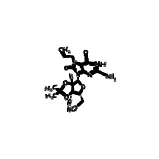 C=CCn1c(=O)n([C@@H]2O[C@H](CO)[C@H]3OC(C)(C)O[C@@H]32)c2nc(N)[nH]c(=O)c21